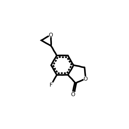 O=C1OCc2cc(C3CO3)cc(F)c21